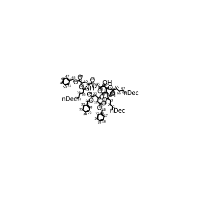 CCCCCCCCCCCCCC(=O)N[C@H]1[C@H](OC(CC(=O)OCc2ccccc2)CC(=O)OCc2ccccc2)O[C@H](COC(=O)[C@@H](CCC(=O)OCc2ccccc2)NC(=O)CCCCCCCCCCCCC)[C@@H](O)[C@@H]1OC(=O)CCCCCCCCCCCCC